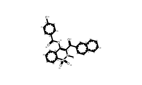 CN1C(C(=O)c2ccc3ccccc3c2)=C(OC(=O)c2ccc(F)cc2)c2ccccc2S1(=O)=O